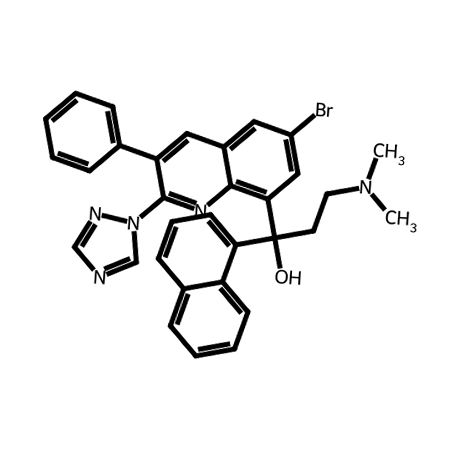 CN(C)CCC(O)(c1cccc2ccccc12)c1cc(Br)cc2cc(-c3ccccc3)c(-n3cncn3)nc12